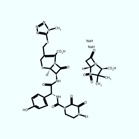 CC1(C)[C@H](C(=O)O)N2C(=O)C[C@H]2S1(=O)=O.CCN1CCN(C(=O)N[C@@H](C(=O)N[C@@H]2C(=O)N3C(C(=O)O)=C(CSc4nnnn4C)CS[C@H]23)c2ccc(O)cc2)C(=O)C1=O.[NaH].[NaH]